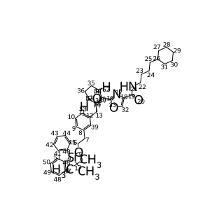 CC(C)(C)[Si](OCCc1cccc(C[C@@H]2[C@H](c3nc(C(=O)NCCCCC4CCCCC4)co3)[C@H]3CC[C@@H]2O3)c1)(c1ccccc1)c1ccccc1